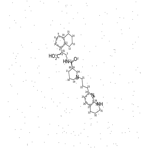 O=C(NC[C@@H](C(=O)O)c1cccc2c1CCCC2)[C@@H]1CCCN(CCCc2ccc3c(n2)NCCC3)C1